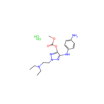 CCN(CC)CCn1nc(Nc2ccc(N)cc2)c(OC(=O)OC)n1.Cl.Cl